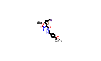 COC(=O)c1ccc(CCNC(=O)C(NC(=O)OC(C)(C)C)c2ccc(CI)s2)cc1